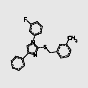 Cc1cccc(CSc2nc(-c3ccccc3)cn2-c2cccc(F)c2)c1